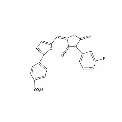 O=C(O)c1ccc(-c2ccc(C=C3SC(=S)N(c4cccc(F)c4)C3=O)o2)cc1